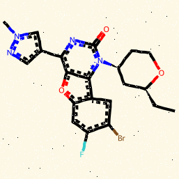 CC[C@H]1C[C@@H](n2c(=O)nc(-c3cnn(C)c3)c3oc4cc(F)c(Br)cc4c32)CCO1